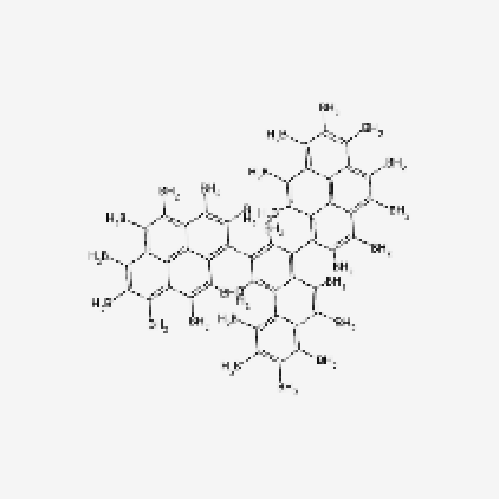 Bc1c(B)c(B)c2c(c1B)c(B)c(B)c1c(-c3c(B)c(B)c4c(B)c(B)c5c(B)c(B)c(B)c6c(B)c(B)c3c4c56)c(B)c(-c3c(B)c(B)c4c(B)c(B)c5c(B)c(B)c(B)c6c(B)c(B)c3c4c56)c(B)c12